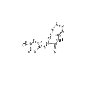 O=C1Nc2ccccc2SC1=Cc1ccc(Cl)cc1